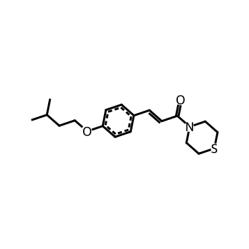 CC(C)CCOc1ccc(/C=C/C(=O)N2CCSCC2)cc1